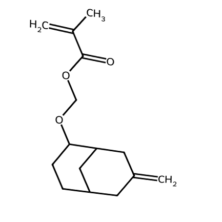 C=C1CC2CCC(OCOC(=O)C(=C)C)C(C1)C2